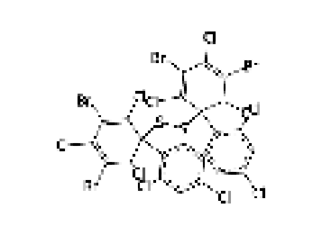 ClC1=C(Br)C(Cl)C(SSC2(c3ccc(Cl)cc3Cl)C(Cl)=C(Br)C(Cl)=C(Br)C2Cl)(c2ccc(Cl)cc2Cl)C(Cl)=C1Br